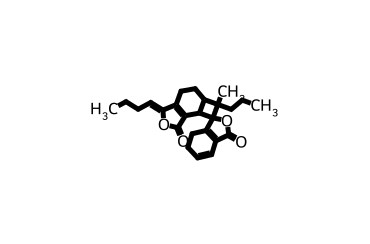 CCC/C=C1\OC(=O)C2=C1CCC1C2C2(OC(=O)C3=C2CCC=C3)C1(C)CCC